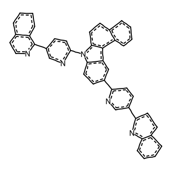 c1ccc2nc(-c3ccc(-c4ccc5c(c4)c4c6ccccc6ccc4n5-c4ccc(-c5nccc6ccccc56)cn4)nc3)ccc2c1